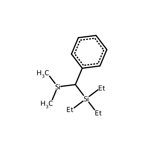 CC[Si](CC)(CC)C(c1ccccc1)[Si](C)C